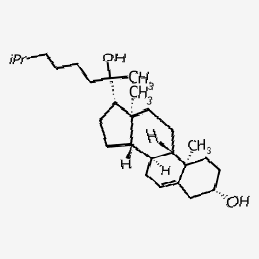 CC(C)CCCCC(C)(O)[C@H]1CC[C@H]2[C@@H]3CC=C4C[C@@H](O)CC[C@]4(C)[C@H]3CC[C@]12C